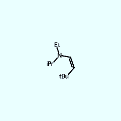 CCN(/C=C\C(C)(C)C)C(C)C